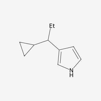 CCC(c1cc[nH]c1)C1CC1